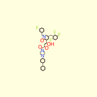 O=C(C=C(O)c1cc(Cc2c(F)ccc(F)c2F)cn(Cc2cccc(F)c2)c1=O)C(=O)N1CCN(c2ccc(-c3ccccc3)cc2)CC1